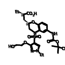 CC[C@@H](C[C@H]1CN(S(=O)(=O)c2cn(CC)nc2OCCO)c2cc(NC(=O)OC(C)(C)C(F)(F)F)ccc2O1)C(=O)O